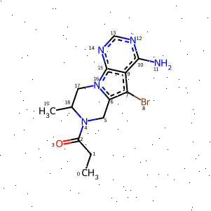 CCC(=O)N1Cc2c(Br)c3c(N)ncnc3n2CC1C